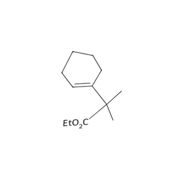 CCOC(=O)C(C)(C)C1=CCCCC1